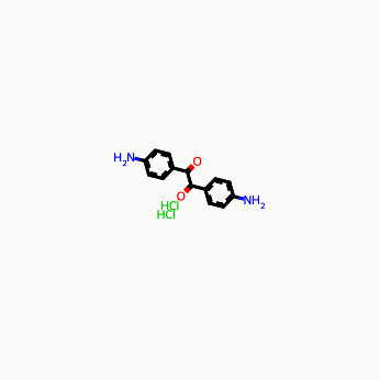 Cl.Cl.Nc1ccc(C(=O)C(=O)c2ccc(N)cc2)cc1